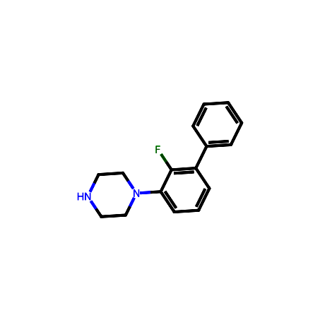 Fc1c(-c2ccccc2)cccc1N1CCNCC1